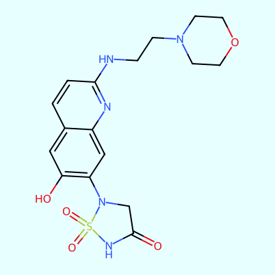 O=C1CN(c2cc3nc(NCCN4CCOCC4)ccc3cc2O)S(=O)(=O)N1